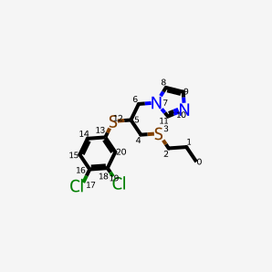 CCCSCC(Cn1ccnc1)Sc1ccc(Cl)c(Cl)c1